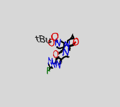 CC(c1ccc(-n2cc(F)cn2)nc1)N1CC(=C=O)N(CC2CC2)C2(CCN(C(=O)OC(C)(C)C)CC2)C1=C=O